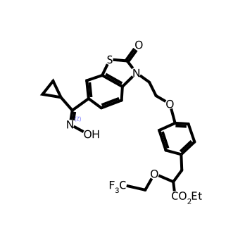 CCOC(=O)C(Cc1ccc(OCCn2c(=O)sc3cc(/C(=N\O)C4CC4)ccc32)cc1)OCC(F)(F)F